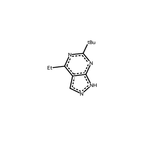 CCc1nc(C(C)(C)C)nc2[nH]ncc12